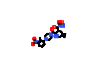 Cc1c(N2CCN(C(=O)C3NCC4(CC4)CC3C(=O)NO)CC2)cccc1[N+](=O)[O-]